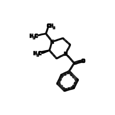 CC(C)N1CCN(C(=O)c2ccccc2)C[C@H]1C